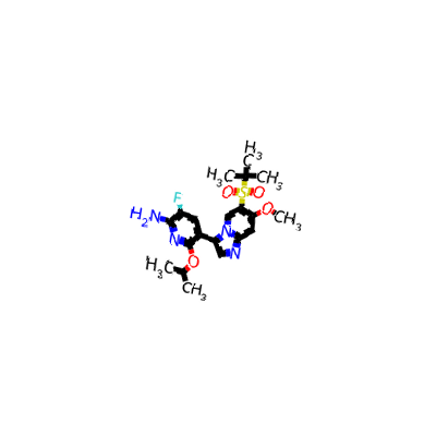 COc1cc2ncc(-c3cc(F)c(N)nc3OC(C)C)n2cc1S(=O)(=O)C(C)(C)C